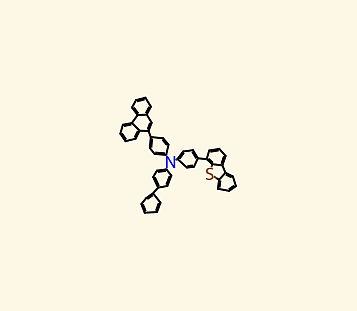 c1ccc(-c2ccc(N(c3ccc(-c4cc5ccccc5c5ccccc45)cc3)c3ccc(-c4cccc5c4sc4ccccc45)cc3)cc2)cc1